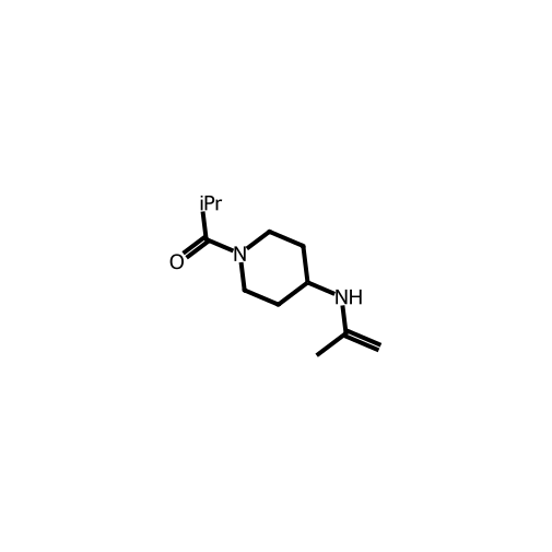 C=C(C)NC1CCN(C(=O)C(C)C)CC1